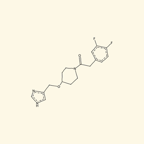 O=C(Cc1ccc(F)c(F)c1)N1CCC(OCc2c[nH]cn2)CC1